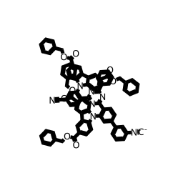 [C-]#[N+]c1cccc(-c2ccc(-c3nc(-c4ccccc4)nc(-c4ccc(C#N)cc4-n4c5ccc(C(=O)OCc6ccccc6)cc5c5cc(C(=O)OCc6ccccc6)ccc54)n3)c(-n3c4ccc(C(=O)OCc5ccccc5)cc4c4cc(C(=O)OCc5ccccc5)ccc43)c2)c1